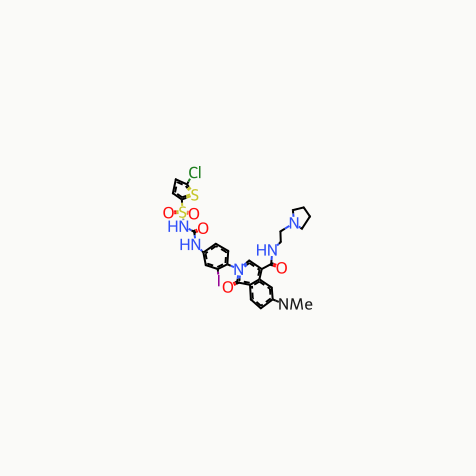 CNc1ccc2c(=O)n(-c3ccc(NC(=O)NS(=O)(=O)c4ccc(Cl)s4)cc3I)cc(C(=O)NCCN3CCCC3)c2c1